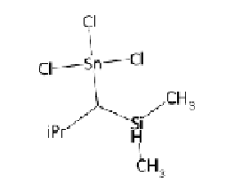 CC(C)[CH]([SiH](C)C)[Sn]([Cl])([Cl])[Cl]